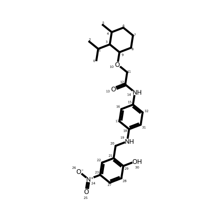 CC(C)C1C(C)CCCC1OCC(=O)Nc1ccc(NCc2cc([N+](=O)[O-])ccc2O)cc1